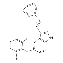 Fc1cccc(F)c1Cc1ccc2[nH]nc(/C=C/c3ccccn3)c2c1